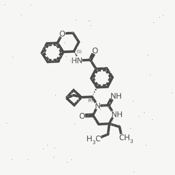 CCC1(CC)CC(=O)N([C@@H](c2cccc(C(=O)N[C@H]3CCOc4ccccc43)c2)C23CC(C2)C3)C(=N)N1